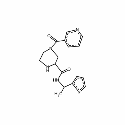 CC(NC(=O)C1CN(C(=O)c2cccnc2)CCN1)c1cccs1